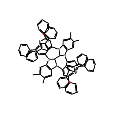 Cc1cc2c(cc1C)N(c1cc(-c3ccccc3)nc(-c3ccccc3)c1)C(C1N(c3cc(-c4ccccc4)nc(-c4ccccc4)c3)c3cc(C)c(C)cc3N1c1cc(-c3ccccc3)nc(-c3ccccc3)c1)N2c1cc(-c2ccccc2)nc(-c2ccccc2)c1